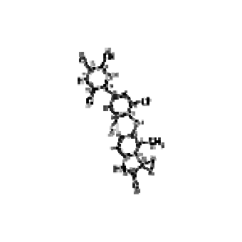 Cc1c(Oc2c(Cl)cc(-n3nc(C#N)c(=O)[nH]c3=O)cc2Cl)ccc2c1C1(CC1)C(=O)N2